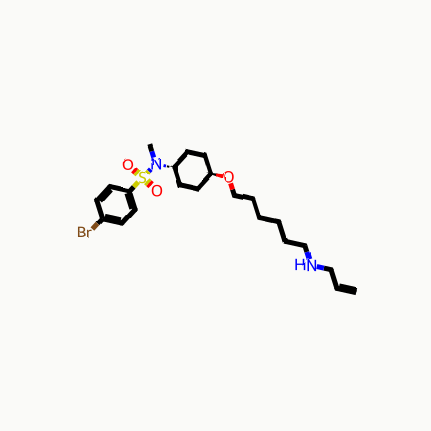 C=CCNCCCCCCO[C@H]1CC[C@H](N(C)S(=O)(=O)c2ccc(Br)cc2)CC1